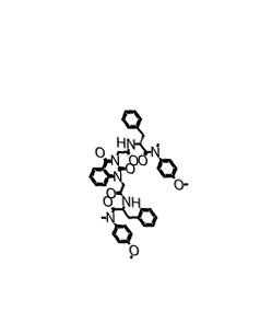 COc1ccc(N(C)C(=O)C(Cc2ccccc2)NC(=O)Cn2c(=O)n(CC(=O)N[C@@H](Cc3ccccc3)C(=O)N(C)c3ccc(OC)cc3)c(=O)c3ccccc32)cc1